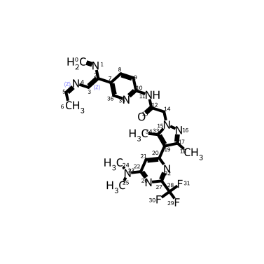 C=N/C(=C\N=C/C)c1ccc(NC(=O)Cn2nc(C)c(-c3cc(N(C)C)nc(C(F)(F)F)n3)c2C)nc1